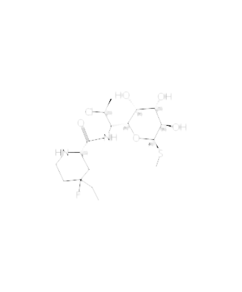 CCC1(F)CCN[C@H](C(=O)NC([C@H](C)Cl)[C@H]2O[C@H](SC)[C@H](O)[C@@H](O)[C@H]2O)C1